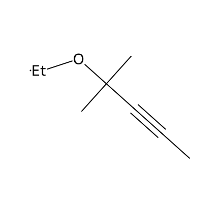 CC#CC(C)(C)O[CH]C